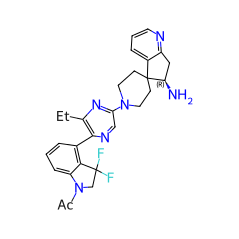 CCc1nc(N2CCC3(CC2)c2cccnc2C[C@H]3N)cnc1-c1cccc2c1C(F)(F)CN2C(C)=O